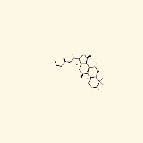 C[C@H](CC(=O)C[C@@H](C)C1CC(=O)[C@@]2(C)C3=C(C(=O)C[C@]12C)[C@@]1(C)CC[C@H](O)C(C)(C)[C@@H]1C[C@@H]3O)C(=O)O